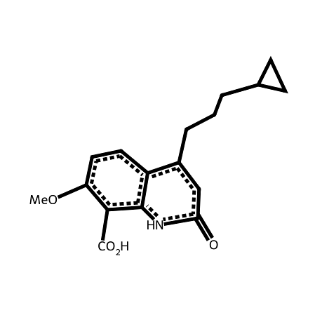 COc1ccc2c(CCCC3CC3)cc(=O)[nH]c2c1C(=O)O